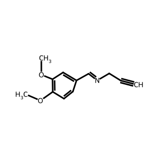 C#CCN=Cc1ccc(OC)c(OC)c1